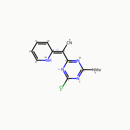 CNc1nc(Cl)nc(/C(C#N)=C2/C=CC=CN2)n1